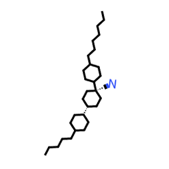 CCCCCCCC1CCC([C@]2(C#N)CC[C@@H](C3CCC(CCCCC)CC3)CC2)CC1